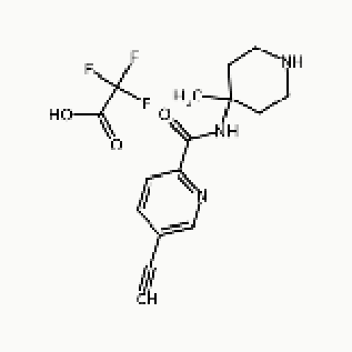 C#Cc1ccc(C(=O)NC2(C)CCNCC2)nc1.O=C(O)C(F)(F)F